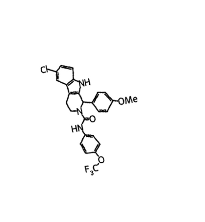 COc1ccc(C2c3[nH]c4ccc(Cl)cc4c3CCN2C(=O)Nc2ccc(OC(F)(F)F)cc2)cc1